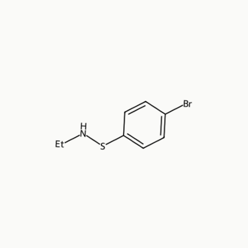 CCNSc1ccc(Br)cc1